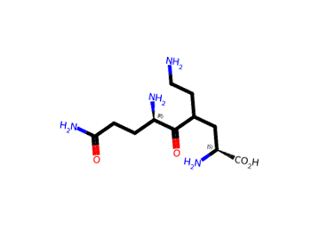 NCCC(C[C@H](N)C(=O)O)C(=O)[C@H](N)CCC(N)=O